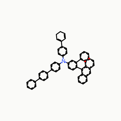 C1=CC(c2ccc(N(c3ccc(-c4ccc(-c5ccccc5)cc4)cc3)c3ccc(-c4c5ccccc5cc5ccccc45)c(-c4ccccc4)c3)cc2)=CCC1